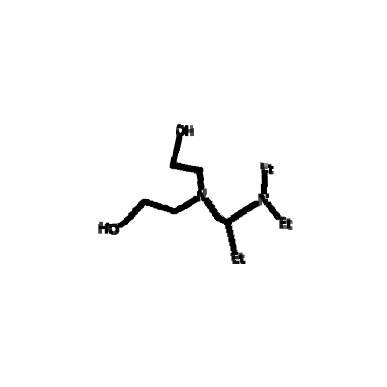 CCC(N(CC)CC)N(CCO)CCO